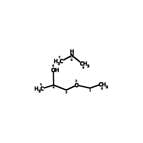 CCOCC(C)O.CNC